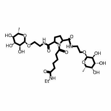 CCNC(=O)CCCCC(=O)N1C(C(=O)NCCO[C@@H]2O[C@@H](C)[C@@H](O)[C@@H](O)[C@@H]2O)CCC1C(=O)NCCO[C@@H]1O[C@@H](C)[C@@H](O)[C@@H](O)[C@@H]1O